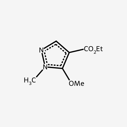 CCOC(=O)c1cnn(C)c1OC